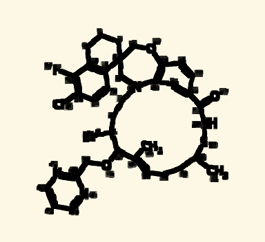 CCC1CCN2CC3(CCCc4c3ccc(Cl)c4F)COc3ccc(cc32)C(=O)NSC(C)CC/C=C(\C)C1OCc1ncccn1